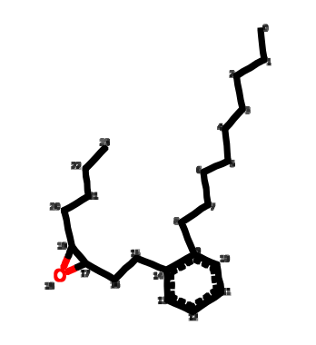 CCCCCCCCCc1ccccc1CCC1OC1CCCC